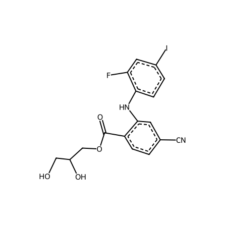 N#Cc1ccc(C(=O)OCC(O)CO)c(Nc2ccc(I)cc2F)c1